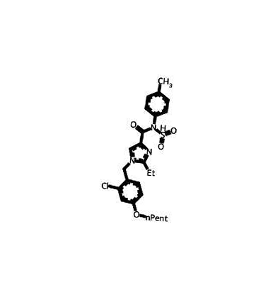 CCCCCOc1ccc(Cn2cc(C(=O)N(c3ccc(C)cc3)[SH](=O)=O)nc2CC)c(Cl)c1